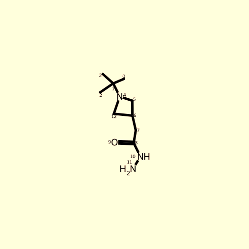 CC(C)(C)N1CC(CC(=O)NN)C1